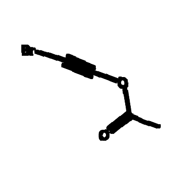 CC(=O)OC#CBr